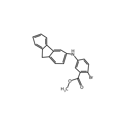 COC(=O)c1cc(Nc2ccc3c(c2)-c2ccccc2C3)ccc1Br